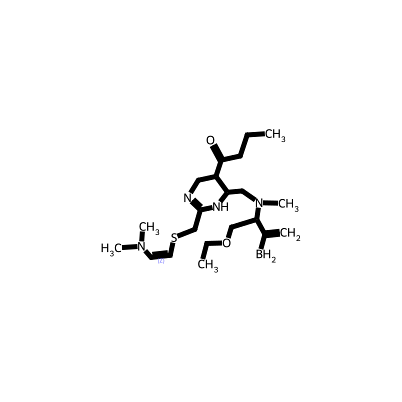 BC(=C)C(COCC)N(C)CC1NC(CS/C=C\N(C)C)=NCC1C(=O)CCC